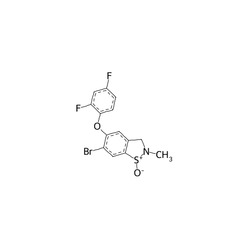 CN1Cc2cc(Oc3ccc(F)cc3F)c(Br)cc2[S+]1[O-]